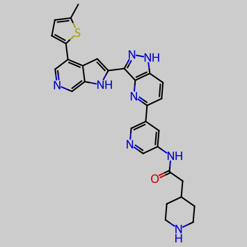 Cc1ccc(-c2cncc3[nH]c(-c4n[nH]c5ccc(-c6cncc(NC(=O)CC7CCNCC7)c6)nc45)cc23)s1